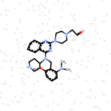 COc1cccc(N(C)C)c1CN(c1nc(N2CCN(CC=O)CC2)nc2ccccc12)C1CCNCC1